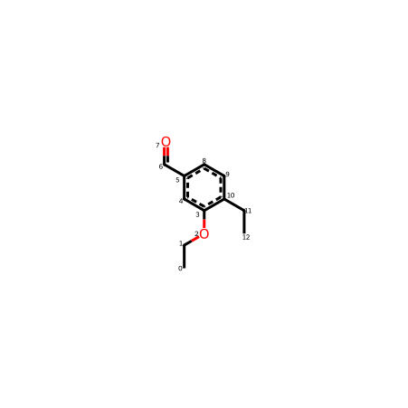 CCOc1cc(C=O)ccc1CC